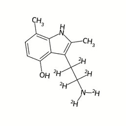 [2H]N([2H])C([2H])([2H])C([2H])([2H])c1c(C)[nH]c2c(C)ccc(O)c12